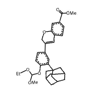 CCOC(OC)Oc1ccc(C2=Cc3ccc(C(=O)OC)cc3OC2)cc1C12CC3CC(CC(C3)C1)C2